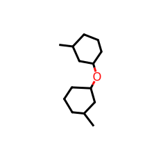 CC1CCCC(OC2CCCC(C)C2)C1